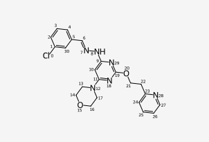 Clc1cccc(/C=N/Nc2cc(N3CCOCC3)nc(OCCc3ccccn3)n2)c1